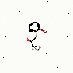 O=C(O)C(=O)Cc1ccccc1Br